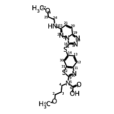 COCCCN(C(=O)O)c1nc2ccc(Sc3nnc4ccc(NCCOC)nn34)cc2s1